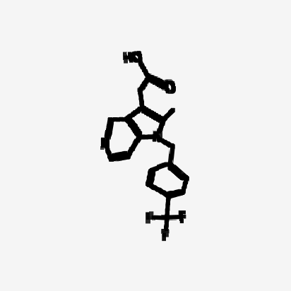 Cc1c(CC(=O)O)c2cnccc2n1Cc1ccc(C(F)(F)F)cc1